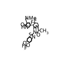 CNCc1cc([C@@H]2CN([C@@H](C)C(=O)Nc3nc4cc5c(cc4s3)OC(F)(F)O5)CCC2(F)F)c[nH]c1=O